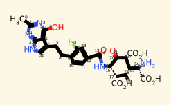 Cc1nc(O)c2c(CCc3ccc(C(=O)N[C@@H](CCC(=O)O)C(=O)C(C[C@H](N)C(=O)O)C(=O)O)cc3F)c[nH]c2n1